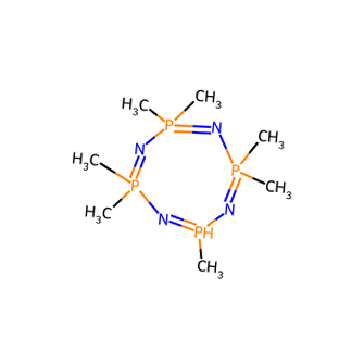 C/[PH]1=N/P(C)(C)=NP(C)(C)=NP(C)(C)=N1